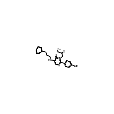 CC(C)(C)OC(=O)Cn1c(-c2ccc(O)cc2)ncc(NCCCc2ccccc2)c1=O